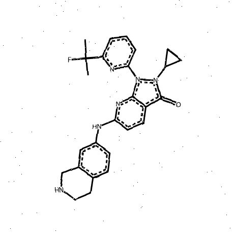 CC(C)(F)c1cccc(-n2c3nc(Nc4ccc5c(c4)CNCC5)ccc3c(=O)n2C2CC2)n1